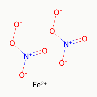 O=[N+]([O-])O[O-].O=[N+]([O-])O[O-].[Fe+2]